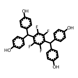 Oc1ccc(C(c2ccc(O)cc2)c2c(F)c(F)c(C(c3ccc(O)cc3)c3ccc(O)cc3)c(F)c2F)cc1